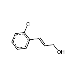 OCC=Cc1ccccc1Cl